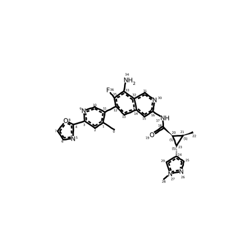 Cc1cc(-c2ncco2)ncc1-c1cc2cc(NC(=O)[C@H]3[C@@H](C)[C@@H]3c3cnn(C)c3)ncc2c(N)c1F